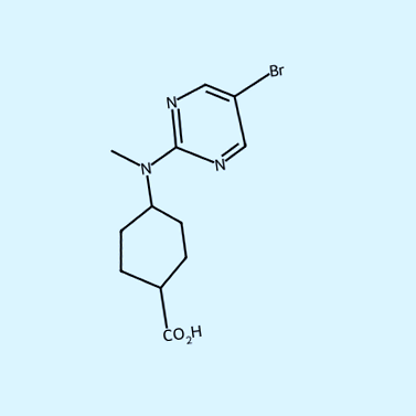 CN(c1ncc(Br)cn1)C1CCC(C(=O)O)CC1